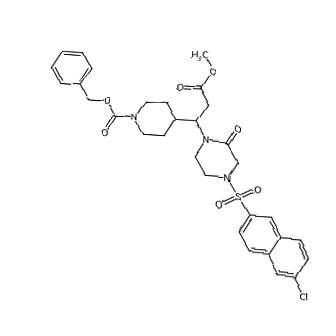 COC(=O)CC(C1CCN(C(=O)OCc2ccccc2)CC1)N1CCN(S(=O)(=O)c2ccc3cc(Cl)ccc3c2)CC1=O